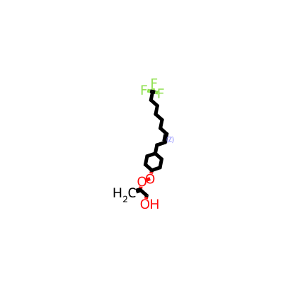 C=C(CO)OOC1CCC(C/C=C\CCCCCC(F)(F)F)CC1